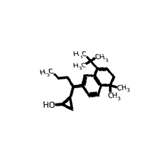 CCCC(c1ccc2c(c1)C(C(C)(C)C)=CCC2(C)C)C1CC1O